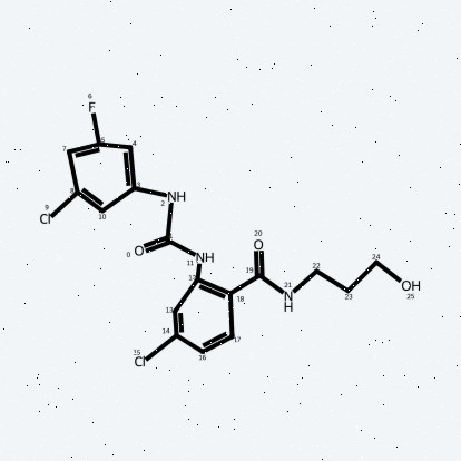 O=C(Nc1cc(F)cc(Cl)c1)Nc1cc(Cl)ccc1C(=O)NCCCO